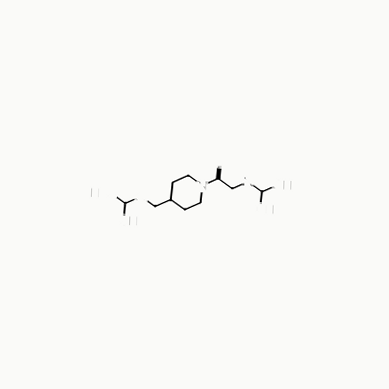 CC(C)NCC(=O)N1CCC(COC(C)C)CC1